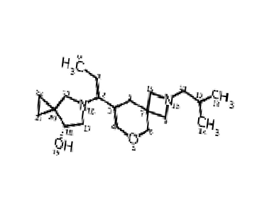 CCC(C1COCC2(C1)CN(CC(C)C)C2)N1C[C@H](O)C2(CC2)C1